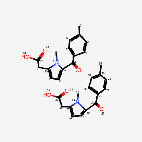 Cc1ccc(C(=O)c2ccc(CC(=O)O)n2C)cc1.Cc1ccc(C(=O)c2ccc(CC(=O)O)n2C)cc1